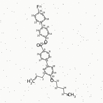 C=CCc1cc(-c2ccc(C(=O)Oc3ccc(-c4ccc(F)cc4)cc3)cc2)ccc1OCCCCC